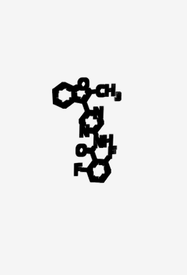 Cc1oc2ccccc2c1-c1cnc(NC(=O)c2c(F)cccc2F)cn1